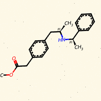 COC(=O)Cc1ccc(C[C@@H](C)N[C@H](C)c2ccccc2)cc1